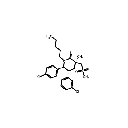 CCCCCN1C(=O)[C@@](C)(CS(C)(=O)=O)C[C@H](c2cccc(Cl)c2)[C@H]1c1ccc(Cl)cc1